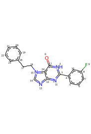 O=c1[nH]c(-c2cccc(F)c2)nc2ncn(CCc3ccccc3)c12